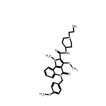 COc1ccc(Cn2c(=O)c3c(OC)c(C(=O)NC4CCN(CCO)CC4)n(C)c3c3ccccc32)cc1